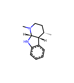 C[C@H]1CCN(C)[C@H]2Nc3ccccc3[C@@H]12